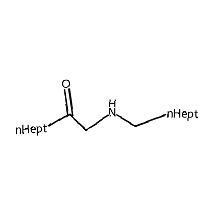 CCCCCCCCNCC(=O)CCCCCCC